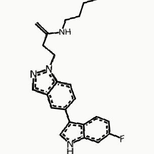 C=C(CCn1ncc2cc(-c3c[nH]c4cc(F)ccc34)ccc21)NCCCC